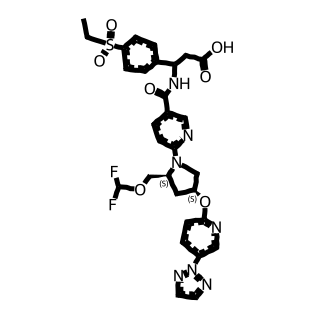 CCS(=O)(=O)c1ccc(C(CC(=O)O)NC(=O)c2ccc(N3C[C@@H](Oc4ccc(-n5nccn5)cn4)C[C@H]3COC(F)F)nc2)cc1